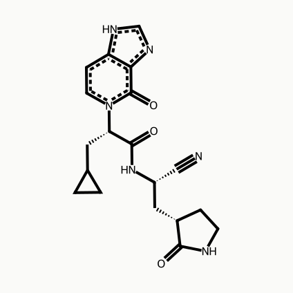 N#C[C@H](C[C@@H]1CCNC1=O)NC(=O)[C@H](CC1CC1)n1ccc2[nH]cnc2c1=O